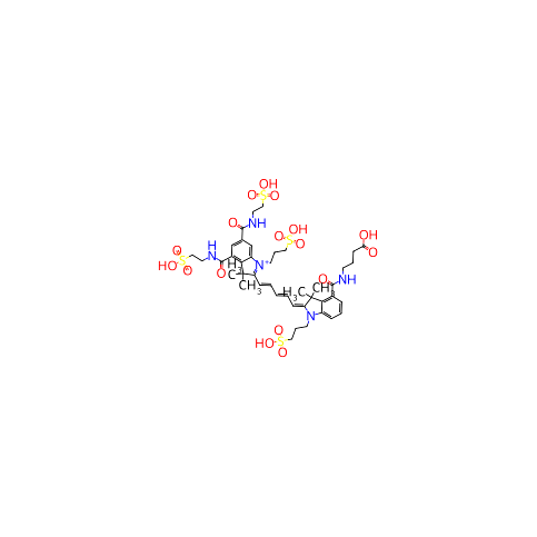 CC1(C)C(/C=C/C=C/C=C2/N(CCCS(=O)(=O)O)c3cccc(C(=O)NCCCC(=O)O)c3C2(C)C)=[N+](CCCS(=O)(=O)O)c2cc(C(=O)NCCS(=O)(=O)O)cc(C(=O)NCCS(=O)(=O)O)c21